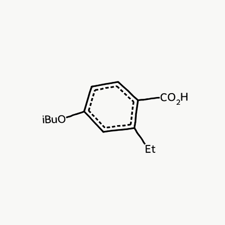 CCc1cc(OCC(C)C)ccc1C(=O)O